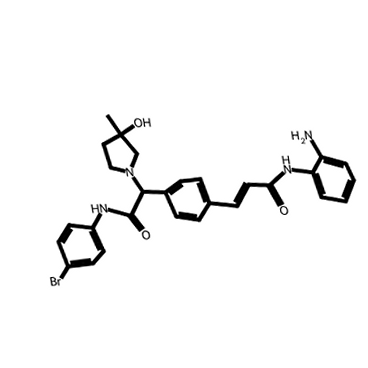 CC1(O)CCN(C(C(=O)Nc2ccc(Br)cc2)c2ccc(/C=C/C(=O)Nc3ccccc3N)cc2)C1